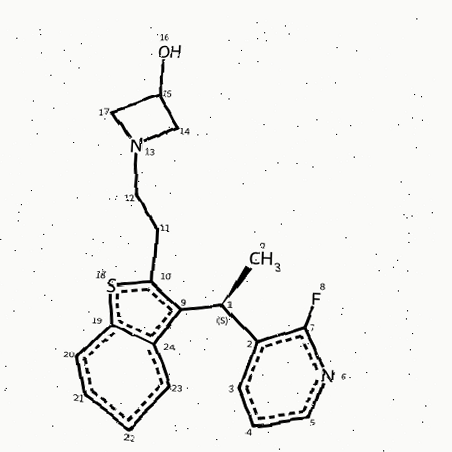 C[C@@H](c1cccnc1F)c1c(CCN2CC(O)C2)sc2ccccc12